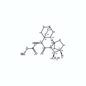 CC(C)(C)OC(=O)N[C@H](C(=O)N1[C@@H]2CC[C@@H](C2)[C@H]1C(=O)O)C12CCC(CC1)CC2